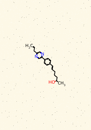 C=CCc1cnc(-c2ccc(C=CCCCC(C)O)cc2)cn1